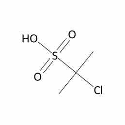 CC(C)(Cl)S(=O)(=O)O